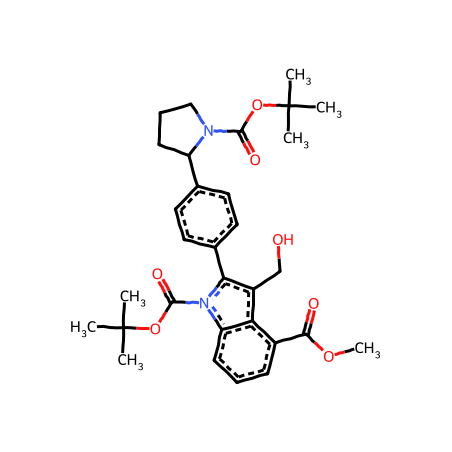 COC(=O)c1cccc2c1c(CO)c(-c1ccc(C3CCCN3C(=O)OC(C)(C)C)cc1)n2C(=O)OC(C)(C)C